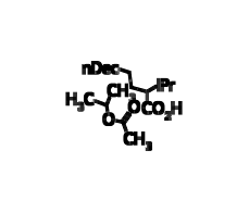 CC(=O)OC(C)C.CCCCCCCCCCCCC(C(=O)O)C(C)C